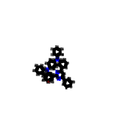 c1ccc(-c2cc(-c3cccc4c3c3cc(-n5c6ccccc6c6ccccc65)ccc3n4-c3ccccc3)nc(-c3ccccc3)n2)cc1